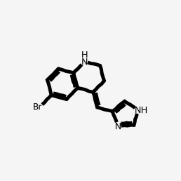 Brc1ccc2c(c1)/C(=C/c1c[nH]cn1)CCN2